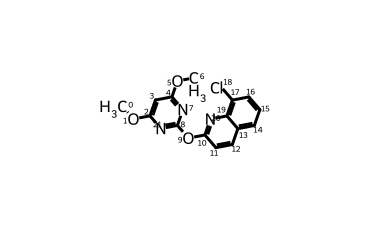 COc1cc(OC)nc(Oc2ccc3cccc(Cl)c3n2)n1